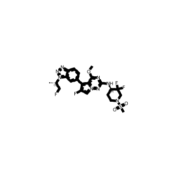 COc1nc(N[C@@H]2CCN(S(C)(=O)=O)CC2(F)F)nn2cc(F)c(-c3ccc4nnn([C@@H](C)CF)c4c3)c12